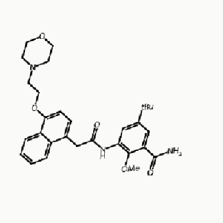 COc1c(NC(=O)Cc2ccc(OCCN3CCOCC3)c3ccccc23)cc(C(C)(C)C)cc1C(N)=O